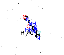 CC(C)Nc1c(C(=O)NCCN2CCOCC2)cnn2cc(-c3ccncc3F)nc12